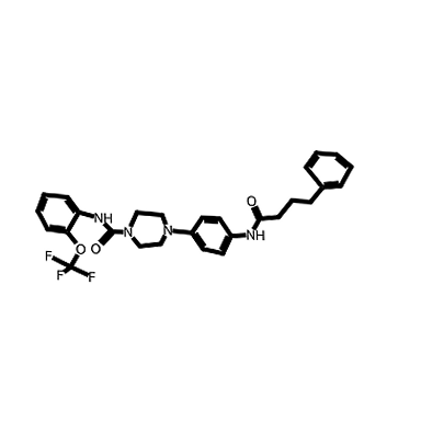 O=C(CCCc1ccccc1)Nc1ccc(N2CCN(C(=O)Nc3ccccc3OC(F)(F)F)CC2)cc1